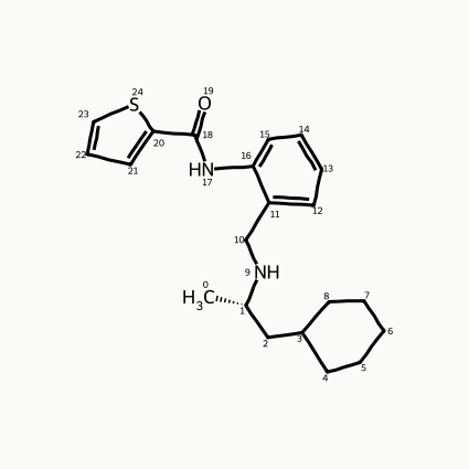 C[C@@H](CC1CCCCC1)NCc1ccccc1NC(=O)c1cccs1